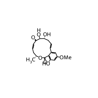 COc1cc(O)c2c(c1)/C=C/C[C@@H](O)[C@H](O)C(=O)/C=C\C[C@@H](C)OC2=O